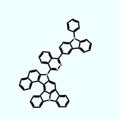 c1ccc(-n2c3ccccc3c3cc(-c4nnc(-n5c6ccc7ccccc7c6c6c7c8ccccc8n8c9ccccc9c(cc65)c78)c5ccccc45)ccc32)cc1